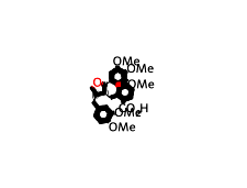 COc1ccc(C[C@H]2CO[C@H](c3cc(OC)c(OC)c(OC)c3)[C@@H]2Cc2ccccc2C(=O)O)cc1OC